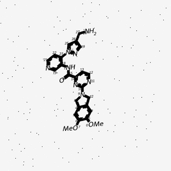 COc1cc2c(cc1OC)CN(c1nccc(C(=O)Nc3cnccc3-n3cc(CN)cn3)n1)C2